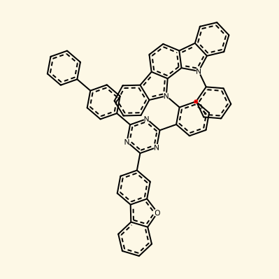 c1ccc(-c2ccc(-c3nc(-c4ccc5c(c4)oc4ccccc45)nc(-c4ccccc4-n4c5ccccc5c5ccc6c7ccccc7n(-c7ccccc7)c6c54)n3)cc2)cc1